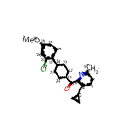 [CH2]c1ccc(C2CC2)c(C(=O)C2CCC(c3ccc(OC)cc3Cl)CC2)n1